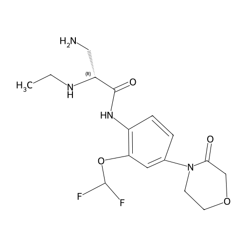 CCN[C@H](CN)C(=O)Nc1ccc(N2CCOCC2=O)cc1OC(F)F